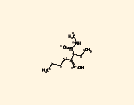 CCCSC(=NO)C(CC)C(=O)NC